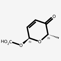 C[C@@H]1O[C@@H](OC(=O)O)C=CC1=O